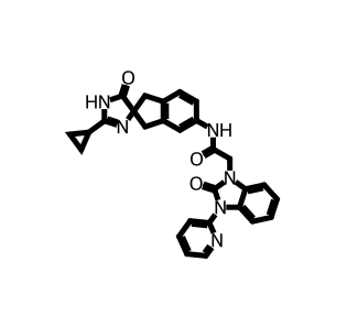 O=C(Cn1c(=O)n(-c2ccccn2)c2ccccc21)Nc1ccc2c(c1)CC1(C2)N=C(C2CC2)NC1=O